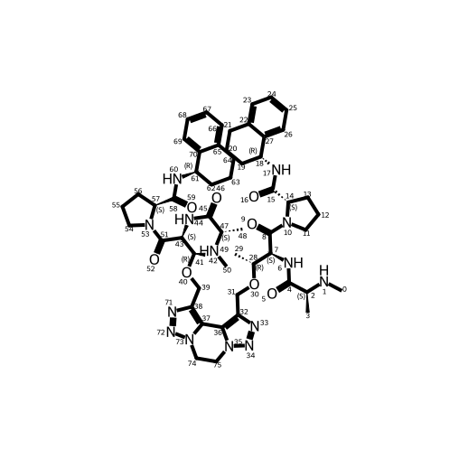 CN[C@@H](C)C(=O)N[C@H](C(=O)N1CCC[C@H]1C(=O)N[C@@H]1CCCc2ccccc21)[C@@H](C)OCc1nnn2c1-c1c(CO[C@H](C)[C@H](NC(=O)[C@H](C)NC)C(=O)N3CCC[C@H]3C(=O)N[C@@H]3CCCc4ccccc43)nnn1CC2